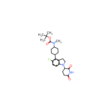 CN(C(=O)OC(C)(C)C)C1CCC(c2c(F)ccc3c2CCN3C2CCC(=O)NC2=O)CC1